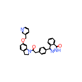 O=C(Cc1ccc(-c2n[nH]c(=O)c3ccccc23)cc1)N1CCc2ccc(OCc3cccnc3)cc21